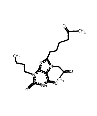 CCCCn1c(=O)[nH]c(=O)c2c1nc(CCCCC(C)=O)n2CC(C)=O